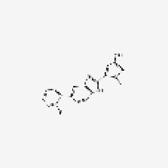 Cn1nc(C(C)(C)C)cc1-c1nc2cc(-c3ccccc3F)ccc2[nH]1